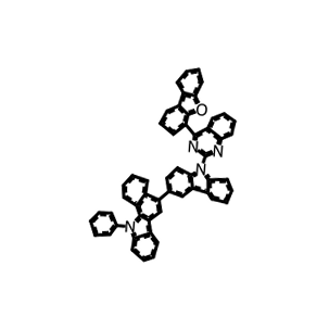 c1ccc(-n2c3ccccc3c3cc(-c4ccc5c(c4)c4ccccc4n5-c4nc(-c5cccc6c5oc5ccccc56)c5ccccc5n4)c4ccccc4c32)cc1